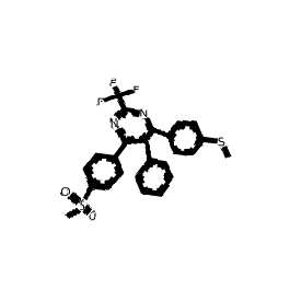 CSc1ccc(-c2nc(C(F)(F)F)nc(-c3ccc(S(C)(=O)=O)cc3)c2-c2ccccc2)cc1